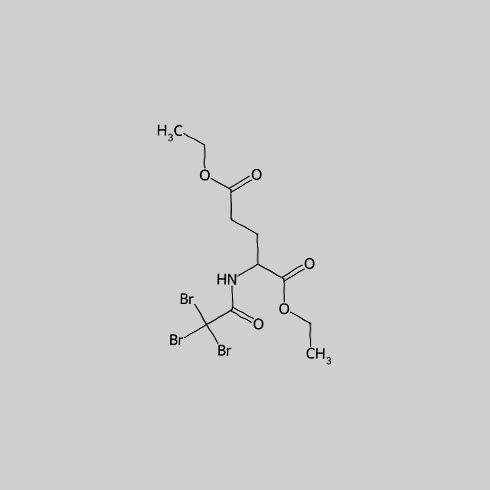 CCOC(=O)CCC(NC(=O)C(Br)(Br)Br)C(=O)OCC